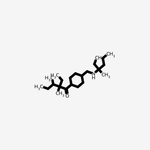 CCCC(C)(CC)NCC1CCC(C(=O)C(C)(CC)C(C)CC)CC1